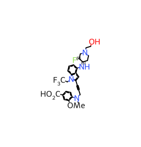 COc1cc(C(=O)O)ccc1N(C)CC#Cc1cc2c(N[C@H]3CCN(CCO)C[C@H]3F)cccc2n1CC(F)(F)F